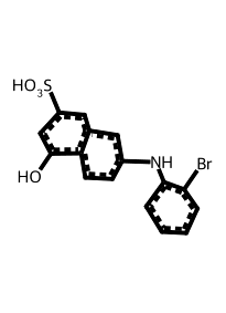 O=S(=O)(O)c1cc(O)c2ccc(Nc3ccccc3Br)cc2c1